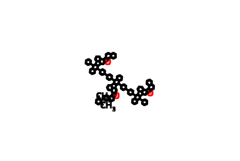 Cc1cccc(C)c1-c1ccc2c(ccc3oc4cc5c6c(cccc6c4c32)-c2c-5c(-c3ccc(-c4ccc(-c5c6c(c(-c7ccccc7)c7ccccc57)-c5cc7oc8ccc9ccccc9c8c7c7cccc-6c57)cc4)cc3)c3ccccc3c2-c2ccc(-c3ccc(-c4c5c(c(-c6ccccc6)c6ccccc46)-c4cccc6c4c-5cc4oc5c7ccccc7ccc5c46)cc3)cc2)c1